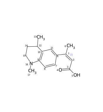 C/C(=C/C(=O)O)c1ccc2c(c1)C(C)CCN2C